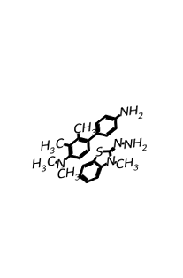 Cc1c(-c2ccc(N)cc2)ccc(N(C)C)c1C.Cn1c(=NN)sc2ccccc21